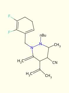 C=C(C)C1C(=C)N(CC2=CCCC(F)=C2F)N(CCCC)C(C)C1C#N